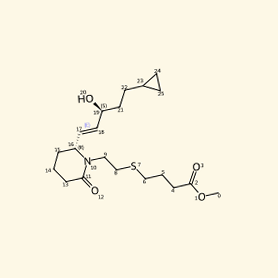 COC(=O)CCCSCCN1C(=O)CCC[C@@H]1/C=C/[C@@H](O)CCC1CC1